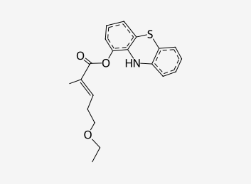 CCOCCC=C(C)C(=O)Oc1cccc2c1Nc1ccccc1S2